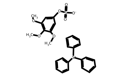 COc1cc(OS(=O)(=O)[O-])cc(OC)c1OC.c1ccc([S+](c2ccccc2)c2ccccc2)cc1